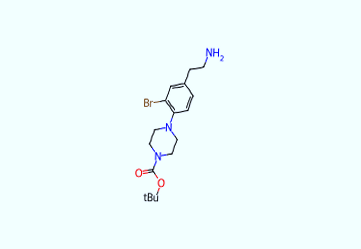 CC(C)(C)OC(=O)N1CCN(c2ccc(CCN)cc2Br)CC1